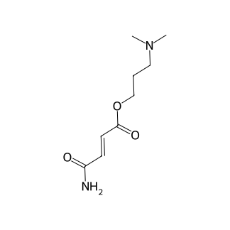 CN(C)CCCOC(=O)C=CC(N)=O